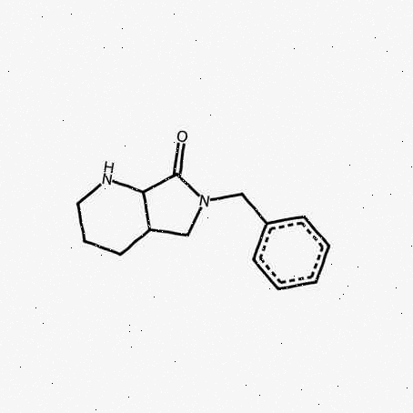 O=C1C2NCCCC2CN1Cc1ccccc1